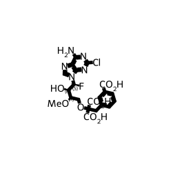 CO[C@H](COC(Cc1cccc(C(=O)O)c1)(C(=O)O)C(=O)O)[C@@H](O)[C@H](F)n1cnc2c(N)nc(Cl)nc21